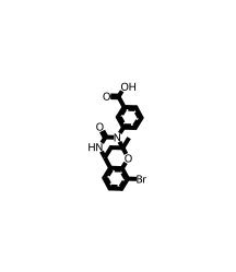 CC12CC(NC(=O)N1c1cccc(C(=O)O)c1)c1cccc(Br)c1O2